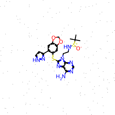 CC(C)(C)[S+]([O-])NCCn1c(Sc2cc3c(cc2-c2cc[nH]n2)OCO3)nc2c(N)ncnc21